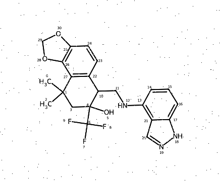 CC1(C)CC(O)(C(F)(F)F)C(CNc2cccc3[nH]ncc23)c2ccc3c(c21)OCO3